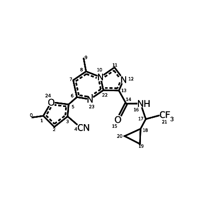 Cc1cc(C#N)c(-c2cc(C)n3cnc(C(=O)NC(C4CC4)C(F)(F)F)c3n2)o1